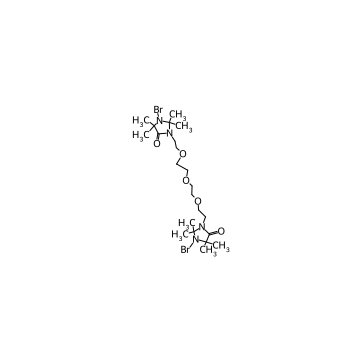 CC1(C)C(=O)N(CCOCCOCCOCCN2C(=O)C(C)(C)N(Br)C2(C)C)C(C)(C)N1Br